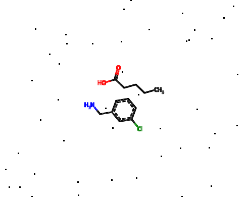 CCCCC(=O)O.NCc1cccc(Cl)c1